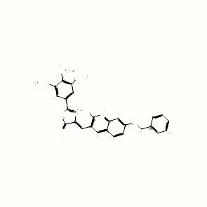 COc1cc(C2=N/C(=C\c3cc4ccc(OCc5ccccc5)cc4nc3OC)C(=O)O2)cc(OC)c1OC